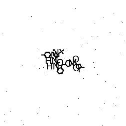 Cc1ccc(-n2nc(C(C)(C)C)cc2NC(=O)Nc2ccccc2CC2CCN(C(=O)c3cc(C)c(C)o3)CC2)cc1